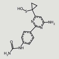 NC(=O)Nc1ccc(-c2nc(N)cc(C3(SO)CC3)n2)cc1